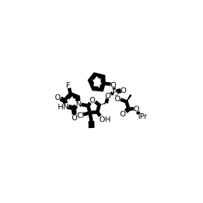 C#CC1(Cl)C(O)[C@@H](COP(=O)(Oc2ccccc2)O[C@@H](C)C(=O)OC(C)C)OC1n1cc(F)c(=O)[nH]c1=O